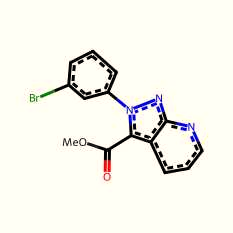 COC(=O)c1c2cccnc2nn1-c1cccc(Br)c1